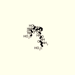 N[C@@H](CCC(=O)O)C(=O)NCC(=O)NCC(=O)N1CCC[C@H]1C(=O)N[C@@H](CO)C(=O)N[C@@H](CO)C(=O)NCC(=O)O